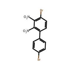 O=[N+]([O-])c1c(Br)ccc(-c2ccc(Br)cc2)c1[N+](=O)[O-]